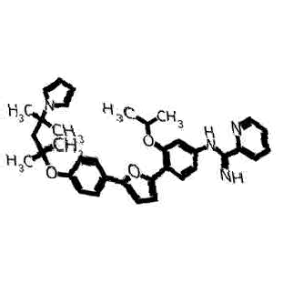 CC(C)Oc1cc(NC(=N)c2ccccn2)ccc1-c1ccc(-c2ccc(OC(C)(C)CC(C)(C)n3cccc3)cc2)o1